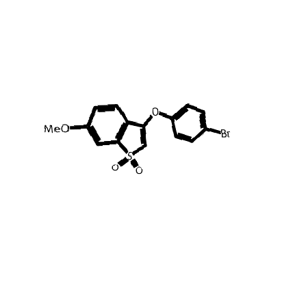 COc1ccc2c(c1)S(=O)(=O)C=C2Oc1ccc(Br)cc1